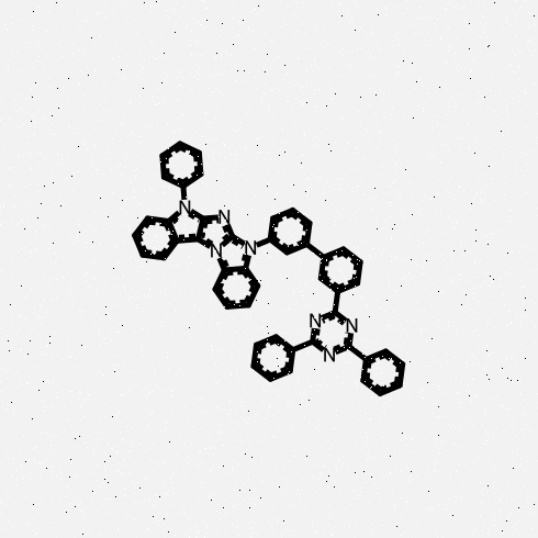 c1ccc(-c2nc(-c3ccccc3)nc(-c3cccc(-c4cccc(-n5c6ccccc6n6c7c8ccccc8n(-c8ccccc8)c7nc56)c4)c3)n2)cc1